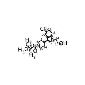 CC(C)(C)OC(=O)N1CCC(c2cn(CCO)c3ccc(Cl)cc23)CC1